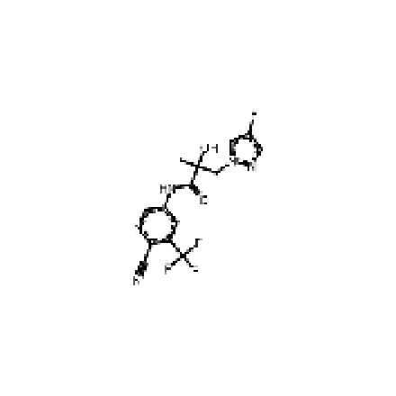 CC(O)(Cn1cc(F)cn1)C(=O)Nc1cnc(C#N)c(C(F)(F)F)c1